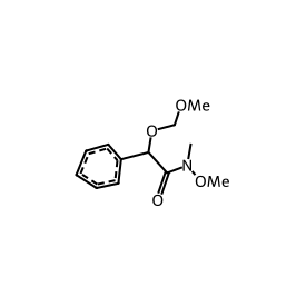 COCOC(C(=O)N(C)OC)c1ccccc1